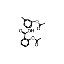 CC(=O)Oc1cccc(C)c1.CC(=O)Oc1ccccc1C(=O)O